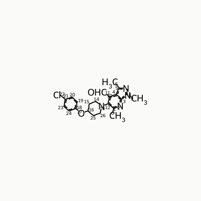 Cc1nc2c(c(C)nn2C)c(C=O)c1N1CCC(Oc2ccc(Cl)cc2)CC1